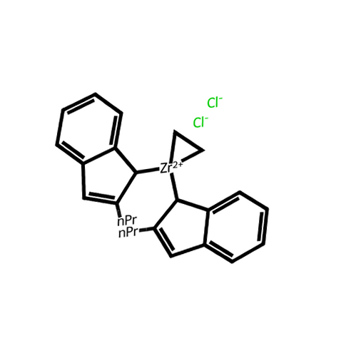 CCCC1=Cc2ccccc2[CH]1[Zr+2]1([CH]2C(CCC)=Cc3ccccc32)[CH2][CH2]1.[Cl-].[Cl-]